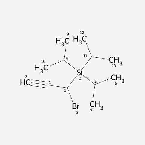 C#CC(Br)[Si](C(C)C)(C(C)C)C(C)C